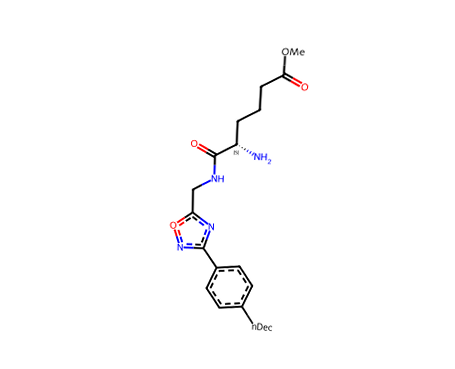 CCCCCCCCCCc1ccc(-c2noc(CNC(=O)[C@@H](N)CCCC(=O)OC)n2)cc1